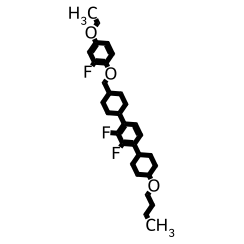 CCCCOC1CCC(c2ccc(C3CCC(COc4ccc(OCC)cc4F)CC3)c(F)c2F)CC1